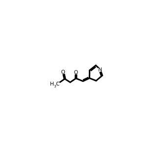 CC(=O)CC(=O)C=C1C=CN=CC1